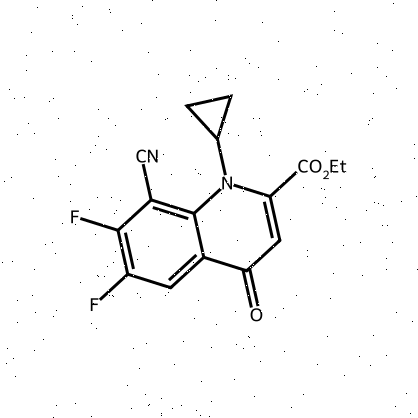 CCOC(=O)c1cc(=O)c2cc(F)c(F)c(C#N)c2n1C1CC1